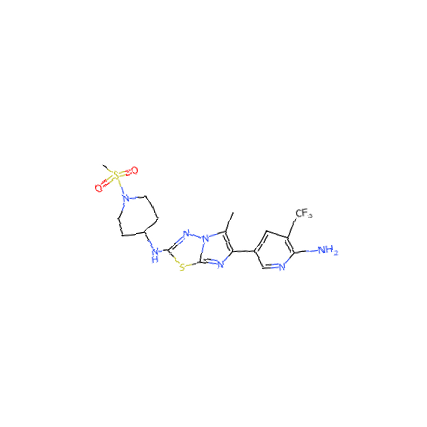 Cc1c(-c2cnc(N)c(C(F)(F)F)c2)nc2sc(NC3CCN(S(C)(=O)=O)CC3)nn12